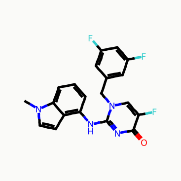 Cn1ccc2c(Nc3nc(=O)c(F)cn3Cc3cc(F)cc(F)c3)cccc21